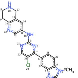 Cn1cnc2cc(-c3nc(Nc4cnc5c(c4)CNCC5)ncc3Cl)ccc21